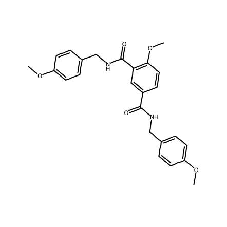 COc1ccc(CNC(=O)c2ccc(OC)c(C(=O)NCc3ccc(OC)cc3)c2)cc1